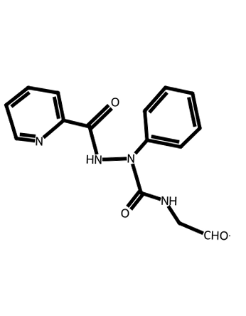 O=[C]CNC(=O)N(NC(=O)c1ccccn1)c1ccccc1